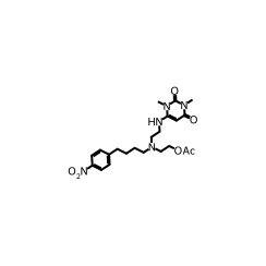 CC(=O)OCCN(CCCCc1ccc([N+](=O)[O-])cc1)CCNc1cc(=O)n(C)c(=O)n1C